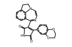 O=C1NC(=O)C(c2ccc3c(c2)OCCO3)=C1C1=NC=CN2CCc3cccc1c32